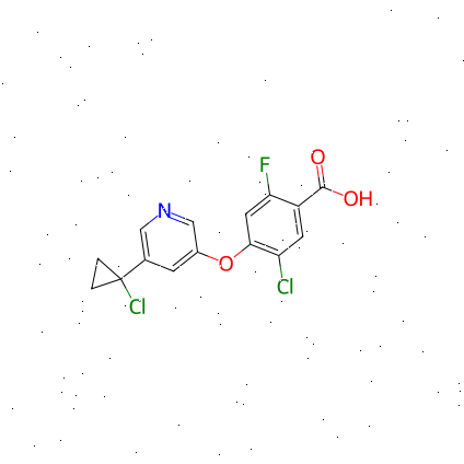 O=C(O)c1cc(Cl)c(Oc2cncc(C3(Cl)CC3)c2)cc1F